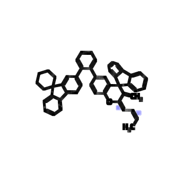 C=C1/C(=C\C=C/C)Oc2ccc(-c3ccccc3-c3ccc4c(c3)C3(CCCCC3)c3ccccc3-4)cc2C12c1ccccc1-c1ccccc12